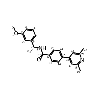 COc1cccc([C@@H](C)NC(=O)c2ccc(-c3cc(C)nc(C)c3)cc2)c1